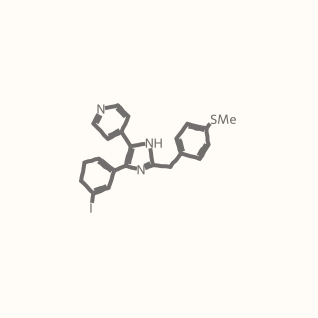 CSc1ccc(Cc2nc(C3=CCCC(I)=C3)c(-c3ccncc3)[nH]2)cc1